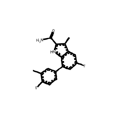 Cc1cc(-c2cc(F)cc3c(C)c(C(N)=O)[nH]c23)ccc1F